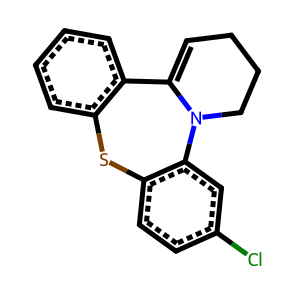 Clc1ccc2c(c1)N1CCCC=C1c1ccccc1S2